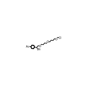 CC(=O)c1ccc(C(COCCCCOCCCCOCCl)C(C)C)cc1